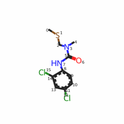 CSCN(C)C(=O)Nc1ccc(Cl)cc1Cl